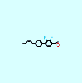 CC/C=C\CC1CC=C(c2ccc(C3CO3)c(F)c2F)CC1